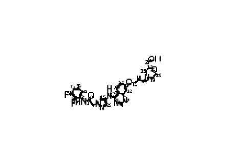 O=C(Cn1cc(Nc2ncnc3cc(OCCCN4CCO[C@@H](CO)C4)ccc23)cn1)Nc1cccc(F)c1F